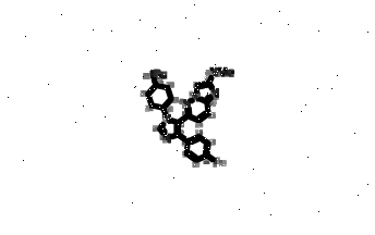 CNc1cn2nc(-c3c(-c4ccc(F)cc4)ncn3C3CCC(C(C)(C)C)CC3)ccc2n1